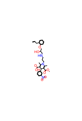 C=CCc1ccccc1OCC(O)CNCCCN1C(C)=C(C(=O)O)C(c2cccc([N+](=O)[O-])c2)C(C(=O)OC)=C1C